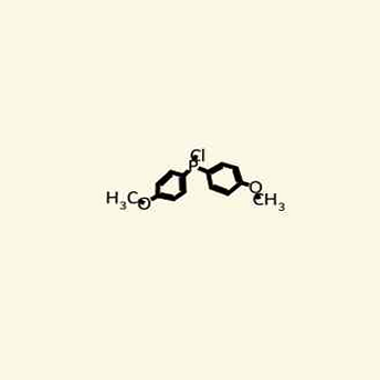 COc1ccc(P(Cl)c2ccc(OC)cc2)cc1